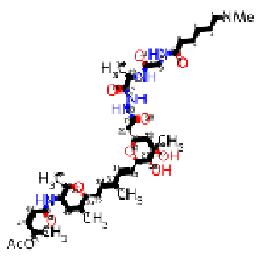 CNCCCCCC(=O)NCC(=O)NC(C)C(=O)NNC(=O)C[C@@H]1C[C@](C)(O)[C@H](O)[C@@H](/C=C/C(C)=C/C[C@@H]2OC(C)C(NC(=O)/C=C\C(C)OC(C)=O)CC2C)O1